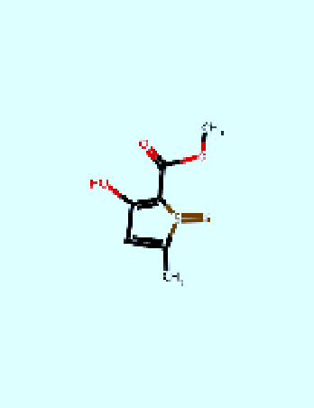 COC(=O)C1=C(O)C=C(C)S1=S